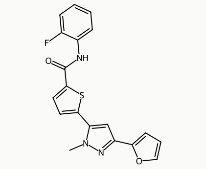 Cn1nc(-c2ccco2)cc1-c1ccc(C(=O)Nc2ccccc2F)s1